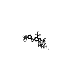 CN(C(=N)N)C(=O)c1cc2c(C(F)(F)F)cc(Oc3cccc([N+](=O)[O-])c3)cc2[nH]1